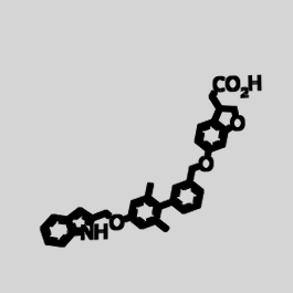 Cc1cc(OCc2cc3ccccc3[nH]2)cc(C)c1-c1cccc(COc2ccc3c(c2)OCC3CC(=O)O)c1